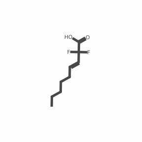 CCCCCC=CC(F)(F)C(=O)O